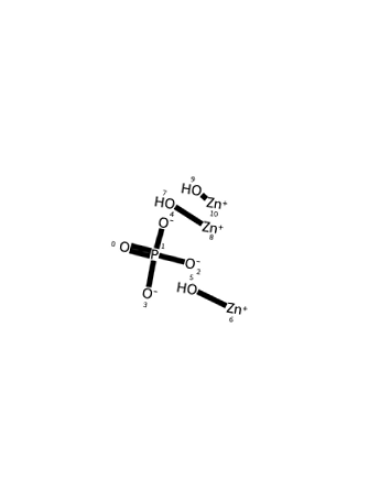 O=P([O-])([O-])[O-].[OH][Zn+].[OH][Zn+].[OH][Zn+]